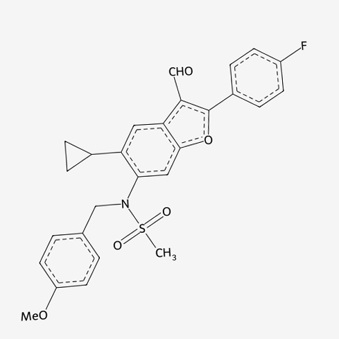 COc1ccc(CN(c2cc3oc(-c4ccc(F)cc4)c(C=O)c3cc2C2CC2)S(C)(=O)=O)cc1